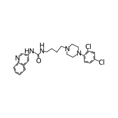 O=C(NCCCCN1CCN(c2ccc(Cl)cc2Cl)CC1)Nc1cnc2ccccc2c1